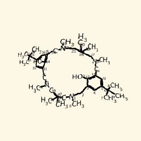 CN1Cc2cc(C(C)(C)C)cc(c2O)CN(C)CC(C)(C)CN(C)Cc2cc(C(C)(C)C)cc(c2O)CN(C)CC(C)(C)C1